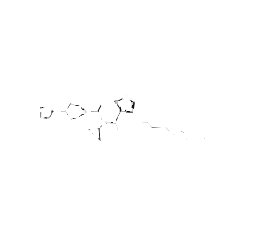 BC(c1cscc1OCCCCCC(=O)O)N(C(=O)c1ccc(-c2ccco2)cc1)C1CC1